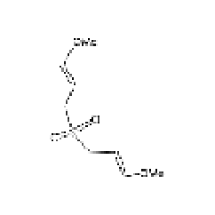 COC=CCS(=O)(=O)CC=COC